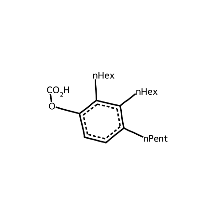 CCCCCCc1c(CCCCC)ccc(OC(=O)O)c1CCCCCC